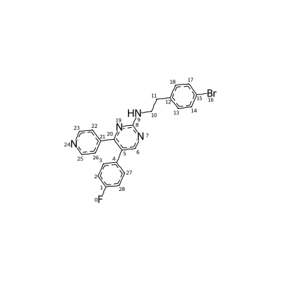 Fc1ccc(-c2cnc(NCCc3ccc(Br)cc3)nc2-c2ccncc2)cc1